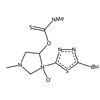 CNC(=S)OC1CN(C)C[N+]1([O-])c1nnc(C(C)(C)C)s1